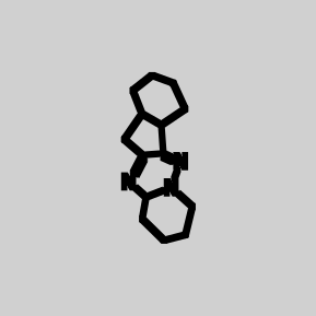 C1CCC2C3=NN4CCCCC4N=C3CC2C1